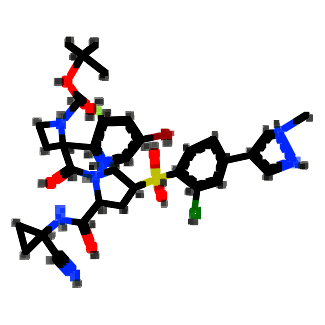 Cn1cc(-c2ccc(S(=O)(=O)C3CC(C(=O)NC4(C#N)CC4)N(C(=O)C4(c5ncc(Br)cc5F)CCN4C(=O)OC(C)(C)C)C3)c(Cl)c2)cn1